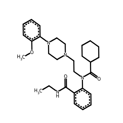 CCNC(=O)c1ccccc1N(CCN1CCN(c2ccccc2OC)CC1)C(=O)C1CCCCC1